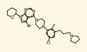 Cc1c(CCCN2CCCC2)cc(Cl)cc1N1CCN(c2ncnc3c2c(Br)nn3C2CCCCO2)CC1